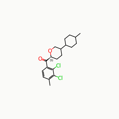 Cc1ccc(C(=O)[C@@H]2CCC(C3CCC(C)CC3)CO2)c(Cl)c1Cl